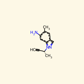 C#C[C@@H](C)n1ncc2cc(C)c(N)cc21